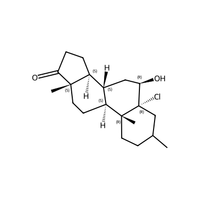 CC1CC[C@]2(C)[C@H]3CC[C@]4(C)C(=O)CC[C@H]4[C@@H]3C[C@@H](O)[C@@]2(Cl)C1